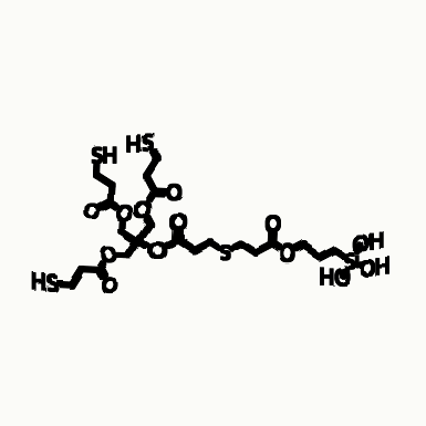 O=C(CCSCCC(=O)OC(COC(=O)CCS)(COC(=O)CCS)COC(=O)CCS)OCCC[Si](O)(O)O